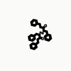 O=C(CCc1ccccc1)[CH](Cc1ccccc1)[Pd][CH](Cc1ccccc1)C(=O)CCc1ccccc1